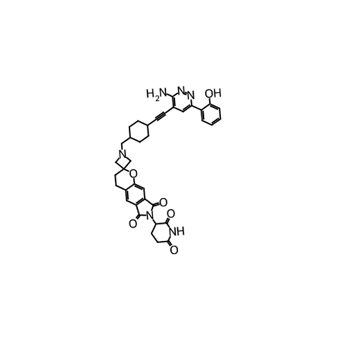 Nc1nnc(-c2ccccc2O)cc1C#CC1CCC(CN2CC3(CCc4cc5c(cc4O3)C(=O)N(C3CCC(=O)NC3=O)C5=O)C2)CC1